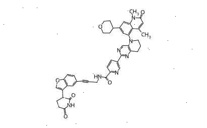 Cc1cc(=O)n(C)c2cc(C3CCOCC3)cc(N3CCCc4nc(-c5ccc(C(=O)NCC#Cc6ccc7occ(C8CCC(=O)NC8=O)c7c6)nc5)ncc43)c12